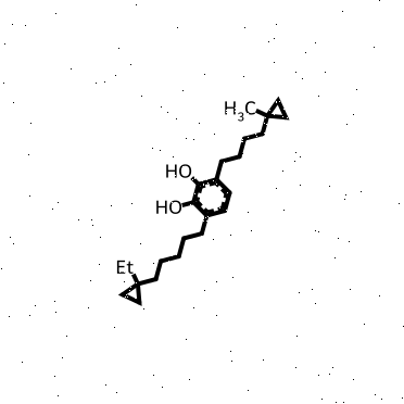 CCC1(CCCCCc2ccc(CCCCC3(C)CC3)c(O)c2O)CC1